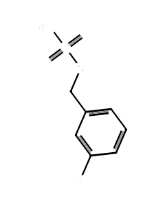 CC(C)(C)S(=O)(=O)NCc1cccc(Cl)c1